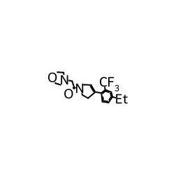 CCc1ccc(C2=CCN(C(=O)CN3CCOCC3)CC2)c(C(F)(F)F)c1